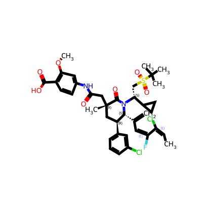 C=C(/C=C(F)\C(Cl)=C/C)[C@@H]1[C@@H](c2cccc(Cl)c2)C[C@](C)(CC(=O)Nc2ccc(C(=O)O)c(OC)c2)C(=O)N1[C@H](CS(=O)(=O)C(C)(C)C)C1CC1